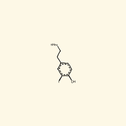 CCCCCCCCc1ccc(O)c(I)c1